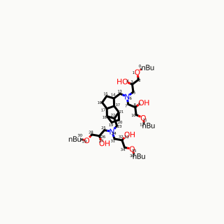 CCCCOCC(O)CN(CC(O)COCCCC)CC1CCC2C3CCC(C3CN(CC(O)COCCCC)CC(O)COCCCC)C12